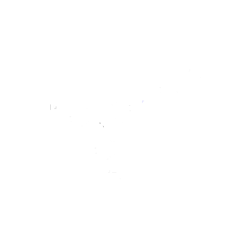 Bc1ccc(/C=C/c2ccc(N(c3ccc(B)cc3)c3ccc(C(C)(C)C)cc3)cc2)cc1